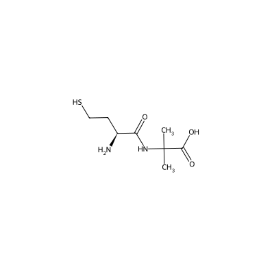 CC(C)(NC(=O)[C@@H](N)CCS)C(=O)O